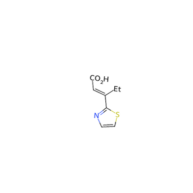 CCC(=CC(=O)O)c1nccs1